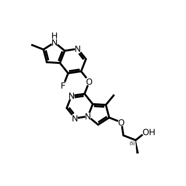 Cc1cc2c(F)c(Oc3ncnn4cc(OC[C@H](C)O)c(C)c34)cnc2[nH]1